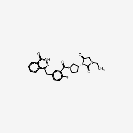 CCN1CC(=O)N([C@@H]2CCN(C(=O)c3cc(Cc4n[nH]c(=O)c5ccccc45)ccc3F)C2)C1=O